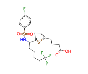 CC(CCCC(NS(=O)(=O)c1ccc(F)cc1)c1ccc(CCCC(=O)O)s1)C(F)(F)F